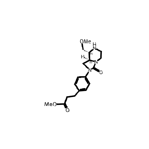 COC[C@@H]1NCCN2C(=O)N(c3ccc(CCC(=O)OC)cc3)C[C@@H]12